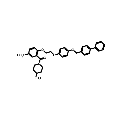 O=C(O)c1ccc(OCCOc2ccc(OCc3ccc(-c4ccccc4)cc3)cc2)c(C(=O)N2CCC(C(=O)O)CC2)c1